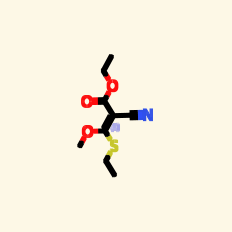 CCOC(=O)/C(C#N)=C(\OC)SCC